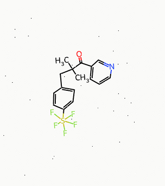 CC(C)(Cc1ccc(S(F)(F)(F)(F)F)cc1)C(=O)c1cccnc1